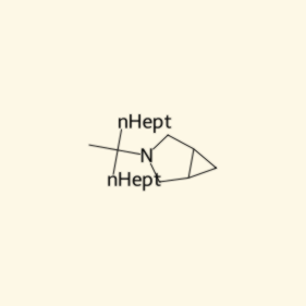 CCCCCCCC(C)(CCCCCCC)N1CC2CC2C1